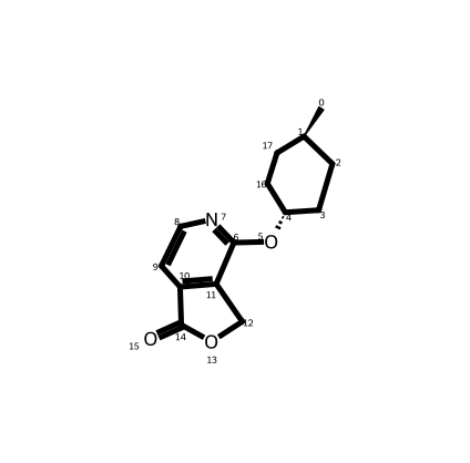 C[C@H]1CC[C@H](Oc2nccc3c2COC3=O)CC1